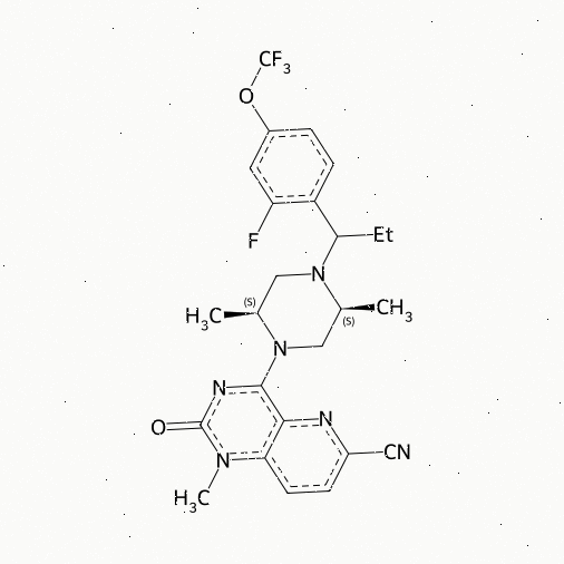 CCC(c1ccc(OC(F)(F)F)cc1F)N1C[C@H](C)N(c2nc(=O)n(C)c3ccc(C#N)nc23)C[C@@H]1C